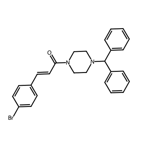 O=C(C=Cc1ccc(Br)cc1)N1CCN(C(c2ccccc2)c2ccccc2)CC1